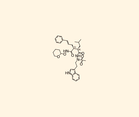 CC(C)C[C@@H](C(=O)NN(CCc1c[nH]c2ccccc12)S(C)(=O)=O)[C@H](CC=Cc1ccccc1)C(=O)NOC1CCCCO1